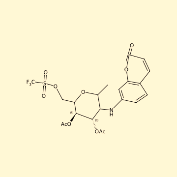 CC(=O)O[C@H]1C(COS(=O)(=O)C(F)(F)F)OC(C)C(Nc2ccc3ccc(=O)oc3c2)[C@@H]1OC(C)=O